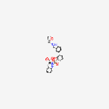 O=C(O)[C@@H](Cc1ccccc1)NS(=O)(=O)c1cccc(-c2cccc(CNC[C@@H]3CCCO3)c2)c1